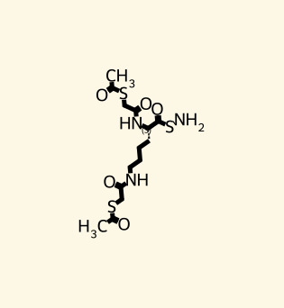 CC(=O)SCC(=O)NCCCC[C@H](NC(=O)CSC(C)=O)C(=O)SN